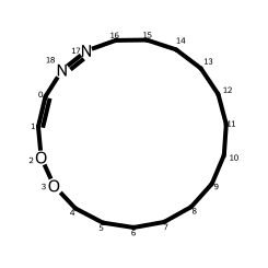 C1=COOCCCCCCCCCCCCCN=N1